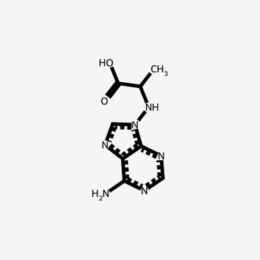 CC(Nn1cnc2c(N)ncnc21)C(=O)O